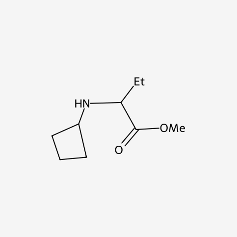 CCC(NC1CCC1)C(=O)OC